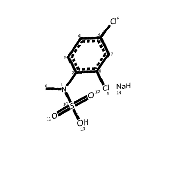 CN(c1ccc(Cl)cc1Cl)S(=O)(=O)O.[NaH]